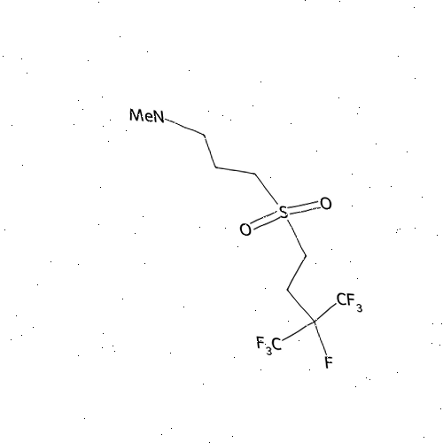 CNCCCS(=O)(=O)CCC(F)(C(F)(F)F)C(F)(F)F